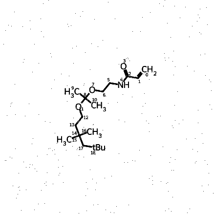 C=CC(=O)NCCOC(C)(C)OCCC(C)(C)CC(C)(C)C